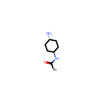 CC(C)C(=O)N[C@H]1CC[C@H](N)CC1